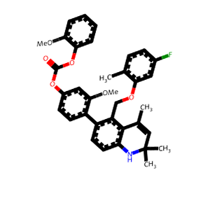 COc1ccccc1OC(=O)Oc1ccc(-c2ccc3c(c2COc2cc(F)ccc2C)C(C)=CC(C)(C)N3)c(OC)c1